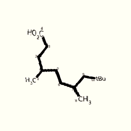 CC(CCC(=O)O)CCC(C)CC(C)(C)C